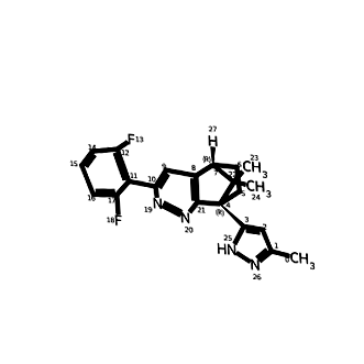 Cc1cc([C@@]23CC[C@@H](c4cc(-c5c(F)cccc5F)nnc42)C3(C)C)[nH]n1